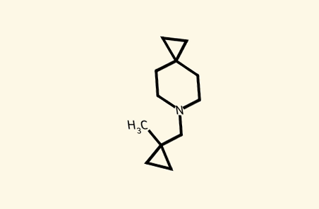 CC1(CN2CCC3(CC2)CC3)CC1